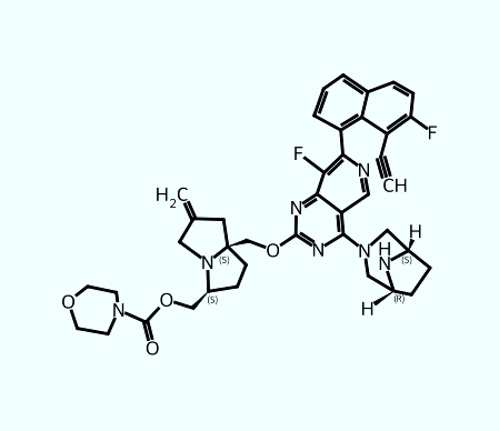 C#Cc1c(F)ccc2cccc(-c3ncc4c(N5C[C@H]6CC[C@@H](C5)N6)nc(OC[C@@]56CC[C@@H](COC(=O)N7CCOCC7)N5CC(=C)C6)nc4c3F)c12